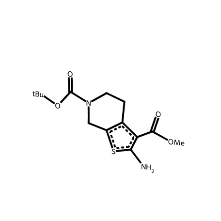 COC(=O)c1c(N)sc2c1CCN(C(=O)OC(C)(C)C)C2